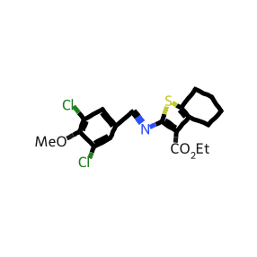 CCOC(=O)c1c(N=Cc2cc(Cl)c(OC)c(Cl)c2)sc2c1CCCC2